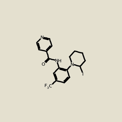 O=C(Nc1cc(C(F)(F)F)ccc1N1CCCCC1I)c1ccncc1